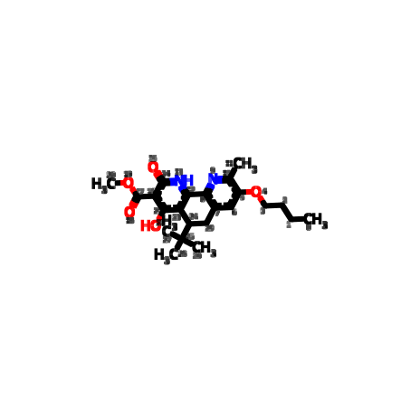 CCCCOc1cc2c(nc1C)-c1[nH]c(=O)c(C(=O)OC)c(O)c1C(C(C)(C)C)C2